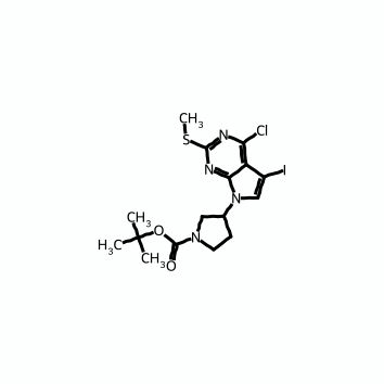 CSc1nc(Cl)c2c(I)cn(C3CCN(C(=O)OC(C)(C)C)C3)c2n1